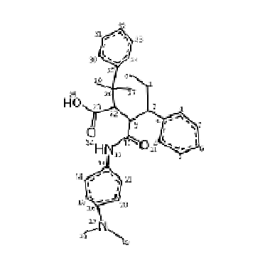 CCC(c1ccccc1)C(C(=O)Nc1ccc(N(C)C)cc1)C(C(=O)O)C(C)(C)c1ccccc1